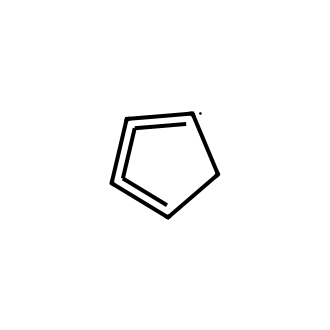 [C]1=C=C=CC1